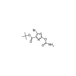 CC(C)(C)OC(=O)c1nc(OC(N)=O)sc1Br